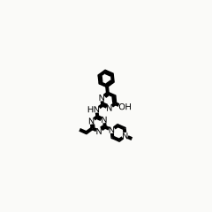 CCc1nc(Nc2nc(O)cc(-c3ccccc3)n2)nc(N2CCN(C)CC2)n1